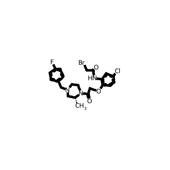 C[C@@H]1CN(Cc2ccc(F)cc2)CCN1C(=O)COc1ccc(Cl)cc1NC(=O)CBr